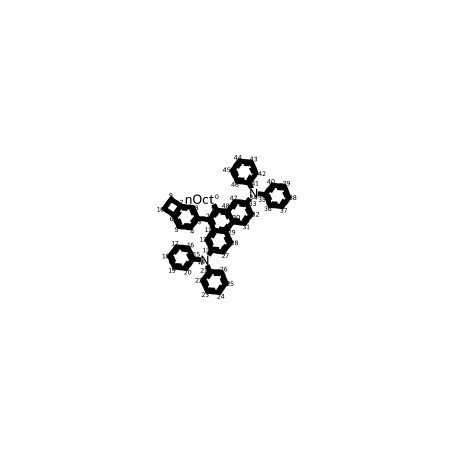 CCCCCCCCc1c(-c2ccc3c(c2)CC3)c2cc(N(c3ccccc3)c3ccccc3)ccc2c2ccc(N(c3ccccc3)c3ccccc3)cc12